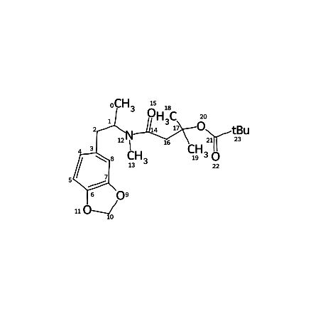 CC(Cc1ccc2c(c1)OCO2)N(C)C(=O)CC(C)(C)OC(=O)C(C)(C)C